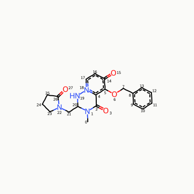 CN1C(=O)c2c(OCc3ccccc3)c(=O)ccn2NC1CN1CCCC1=O